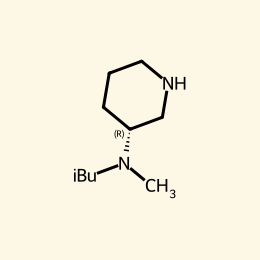 CCC(C)N(C)[C@@H]1CCCNC1